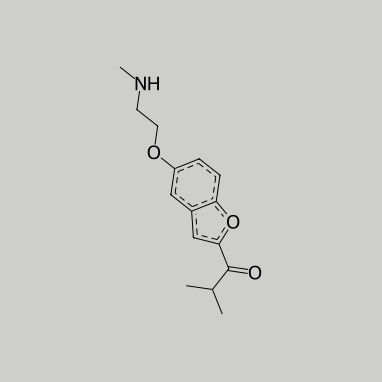 CNCCOc1ccc2oc(C(=O)C(C)C)cc2c1